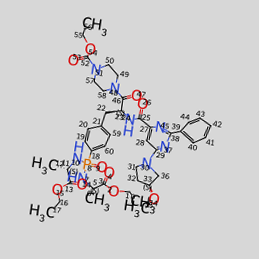 CCOC(=O)[C@H](C)NP(=O)(N[C@@H](C)C(=O)OCC)c1ccc(C[C@H](NC(=O)c2cc(N3CC[C@H](OC)C3)nc(-c3ccccc3)n2)C(=O)N2CCN(C(=O)OCC)CC2)cc1